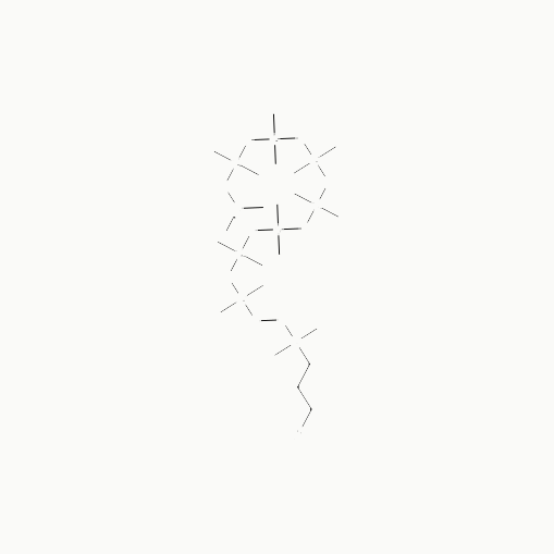 C[SiH](C)O[Si](C)(C)O[Si](C)(C)O[Si](C)(C)O[Si](C)(C)O[Si](C)(C)O[Si](C)(C)O[Si](C)(C)OO[Si](C)(C)CCCN